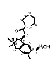 Cc1cc2c(cc1C=NO)/C(=C/C(=O)C1CCCCCC1)NC(C)(C)C2